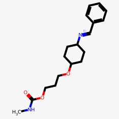 CNC(=O)OCCCOC1CCC(/N=C/c2ccccc2)CC1